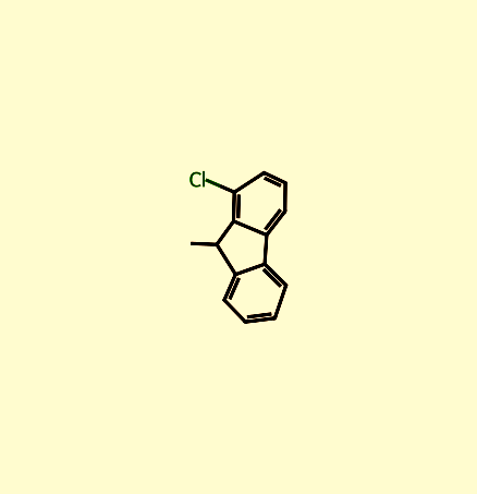 CC1c2ccccc2-c2cccc(Cl)c21